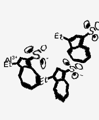 CCc1cc(S(=O)(=O)[O-])c2cccccc1-2.CCc1cc(S(=O)(=O)[O-])c2cccccc1-2.CCc1cc(S(=O)(=O)[O-])c2cccccc1-2.[Al+3]